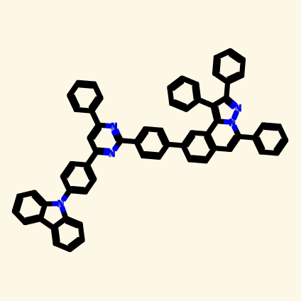 c1ccc(-c2cc(-c3ccc(-n4c5ccccc5c5ccccc54)cc3)nc(-c3ccc(-c4ccc5cc(-c6ccccc6)n6nc(-c7ccccc7)c(-c7ccccc7)c6c5c4)cc3)n2)cc1